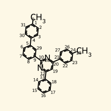 Cc1ccc(-c2cccc(-c3nc(-c4ccccc4)cc(-c4ccc(C)cc4)n3)c2)cc1